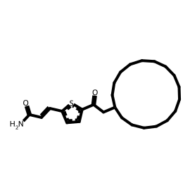 NC(=O)/C=C/c1ccc(C(=O)CC2CCCCCCCCCCCCCCCC2)s1